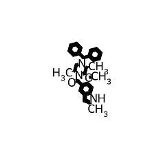 COc1cc2[nH]c(C)cc2cc1C(=O)N1C[C@H](C)N(C(c2ccccc2)c2ccccc2)C[C@H]1C